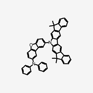 CC1(C)c2ccccc2-c2cc3c4cc5c(cc4n(-c4ccc6oc7ccc(N(c8ccccc8)c8ccccc8)cc7c6c4)c3cc21)C(C)(C)c1ccccc1-5